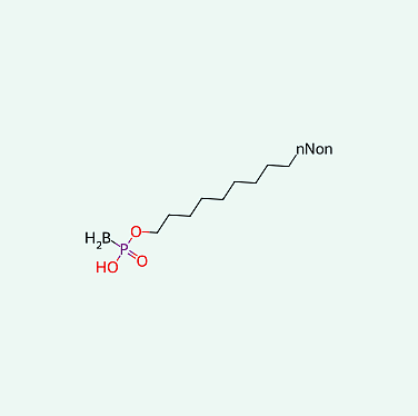 BP(=O)(O)OCCCCCCCCCCCCCCCCCC